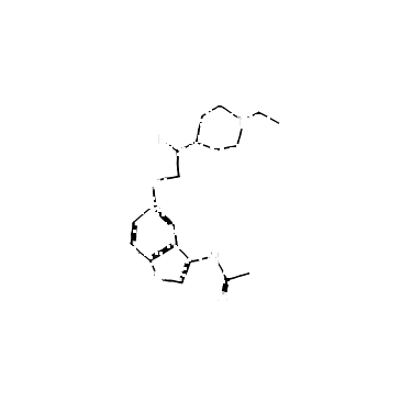 CCN1CCC(C(F)COc2ccc3[nH]cc(NC(C)=O)c3c2)CC1